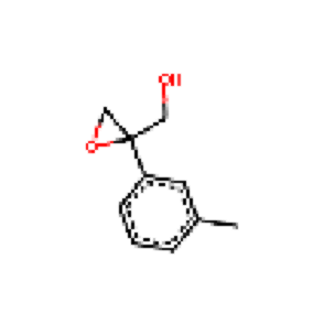 Cc1cccc(C2(CO)CO2)c1